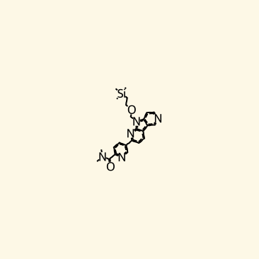 CN(C)C(=O)c1ccc(-c2ccc3c4cnccc4n(COCC[Si](C)(C)C)c3n2)cn1